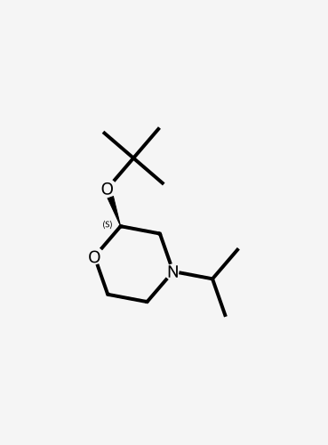 CC(C)N1CCO[C@@H](OC(C)(C)C)C1